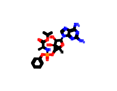 CC(C)OC(=O)[C@H](C)N[P@@](=O)(Oc1ccccc1)OC1[C@H]2O[C@@H](n3cnc4c(N)nc(N)nc43)[C@H](O)[C@@]12O